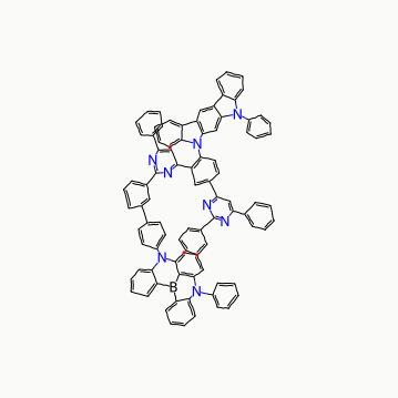 c1ccc(-c2cc(-c3ccc(-n4c5ccccc5c5cc6c7ccccc7n(-c7ccccc7)c6cc54)c(-c4cc(-c5ccccc5)nc(-c5cccc(-c6ccc(N7c8ccccc8B8c9ccccc9N(c9ccccc9)c9cccc7c98)cc6)c5)n4)c3)nc(-c3ccccc3)n2)cc1